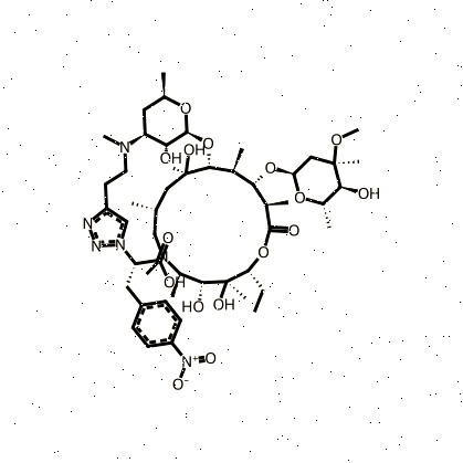 CC[C@H]1OC(=O)[C@H](C)[C@@H](O[C@H]2C[C@@](C)(OC)[C@@H](O)[C@H](C)O2)[C@H](C)[C@@H](O[C@@H]2O[C@H](C)C[C@H](N(C)CCc3cn([C@@H](Cc4ccc([N+](=O)[O-])cc4)C(=O)O)nn3)[C@H]2O)[C@](C)(O)C[C@@H](C)CN(C)[C@H](C)[C@@H](O)[C@]1(C)O